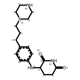 O=C1CCC(Nc2ccc(CCCN3CCNCC3)cc2)C(=O)N1